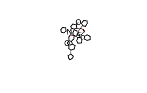 c1ccc(-c2ccc3c(c2)oc2cc(N(c4ccccc4)c4ccc5c(c4)C4(c6ccccc6O5)c5ccccc5[Si](c5ccccc5)(c5ccccc5)c5ccccc54)ccc23)cc1